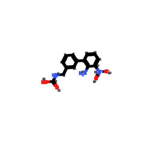 Nc1c(-c2cccc(CNC(=O)O)c2)cccc1[N+](=O)[O-]